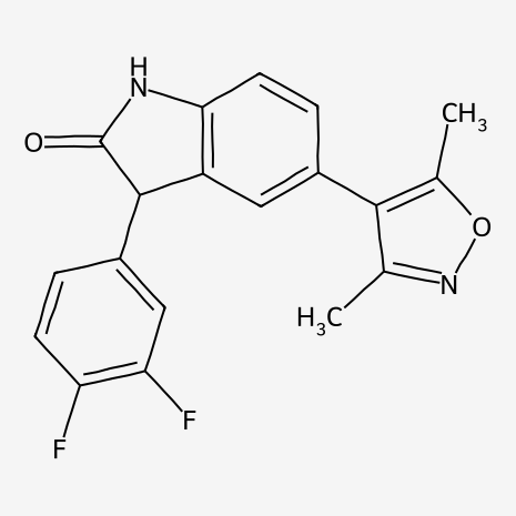 Cc1noc(C)c1-c1ccc2c(c1)C(c1ccc(F)c(F)c1)C(=O)N2